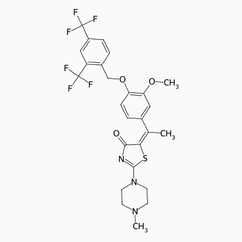 COc1cc(/C(C)=C2/SC(N3CCN(C)CC3)=NC2=O)ccc1OCc1ccc(C(F)(F)F)cc1C(F)(F)F